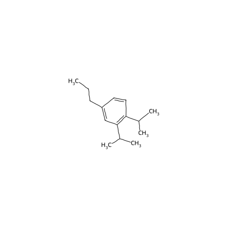 CCCc1ccc(C(C)C)c(C(C)C)c1